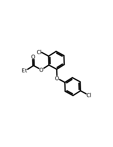 CCC(=O)Oc1c(Cl)cccc1Oc1ccc(Cl)cc1